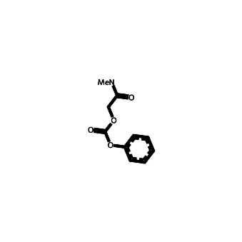 CNC(=O)COC(=O)Oc1ccccc1